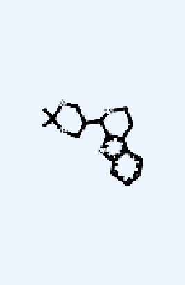 CC1(C)OCC(C2NCCc3c2[nH]c2ccccc32)CO1